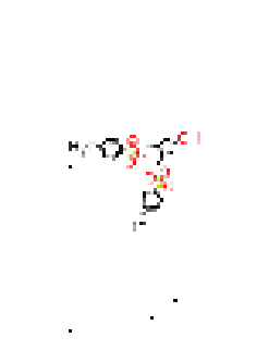 Cc1ccc(S(=O)(=O)OCC2CC(O)CC2COS(=O)(=O)c2ccc(C)cc2)cc1